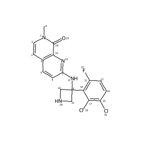 Cn1ccc2ccc(NC3(c4c(F)ccc(Cl)c4Cl)CNC3)nc2c1=O